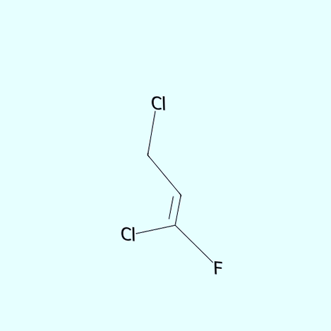 FC(Cl)=CCCl